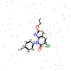 CCOc1nc2c(cc(Br)c(=O)n2-c2ccc(I)cc2)s1